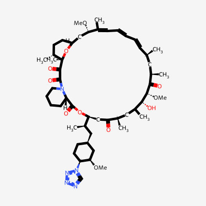 CO[C@H]1C[C@@H]2CC[C@@H](C)[C@@](C)(O2)C(=O)C(=O)N2CCCC[C@H]2C(=O)O[C@H]([C@H](C)C[C@@H]2CC[C@H](n3cnnn3)[C@H](OC)C2)CC(=O)[C@H](C)CC(C)[C@@H](O)[C@@H](OC)C(=O)[C@H](C)C[C@H](C)/C=C/C=C/C=C/1C